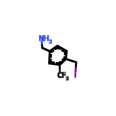 NCc1ccc(CI)c(C(F)(F)F)c1